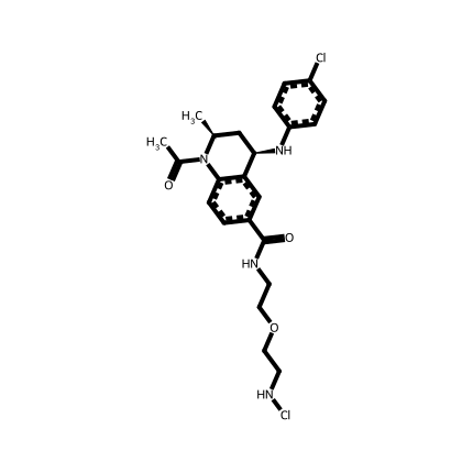 CC(=O)N1c2ccc(C(=O)NCCOCCNCl)cc2[C@H](Nc2ccc(Cl)cc2)C[C@@H]1C